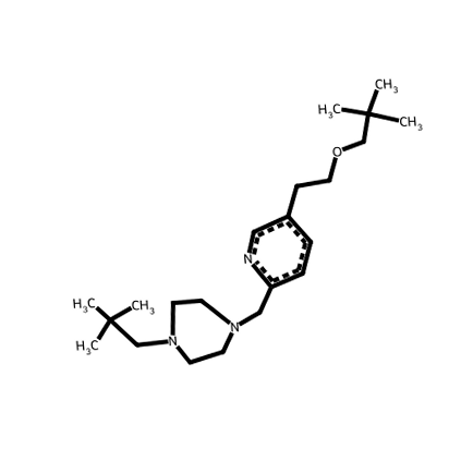 CC(C)(C)COCCc1ccc(CN2CCN(CC(C)(C)C)CC2)nc1